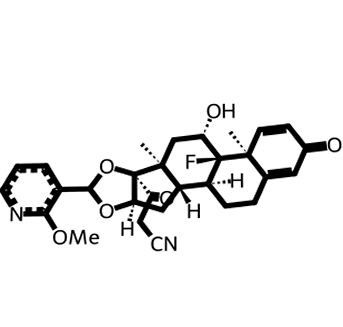 COc1ncccc1C1O[C@@H]2C[C@H]3[C@@H]4CCC5=CC(=O)C=C[C@]5(C)[C@@]4(F)[C@@H](O)C[C@]3(C)[C@]2(C(=O)CC#N)O1